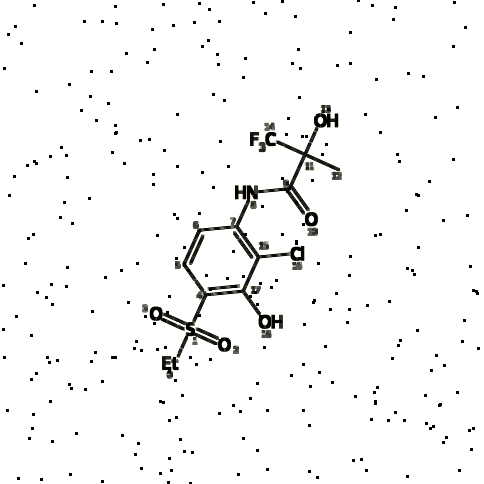 CCS(=O)(=O)c1ccc(NC(=O)C(C)(O)C(F)(F)F)c(Cl)c1O